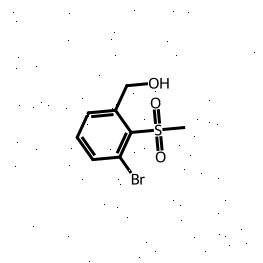 CS(=O)(=O)c1c(Br)cccc1CO